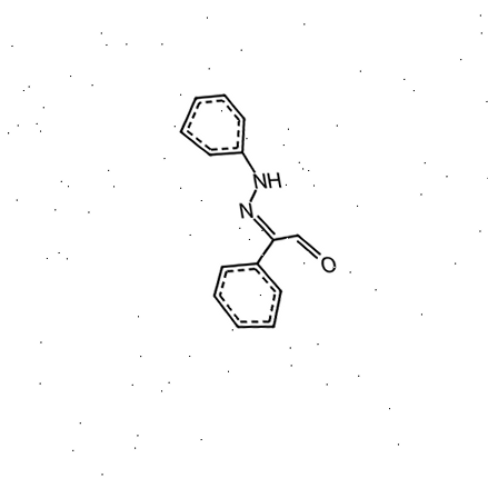 O=CC(=NNc1ccccc1)c1ccccc1